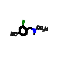 CN(Cc1ccc(C#N)cc1F)C(=O)O